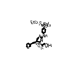 CCOC(=O)N=S(C)(=O)c1ccc(Nc2ncc(C#Cc3cccnc3)c(N[C@H](C)CO)n2)cc1